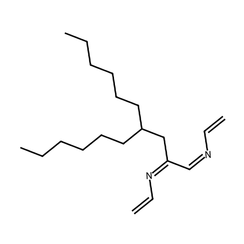 C=C/N=C\C(CC(CCCCCC)CCCCCC)=N/C=C